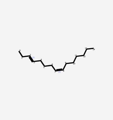 CC/C=C/CCC/C=C\CCCCCC